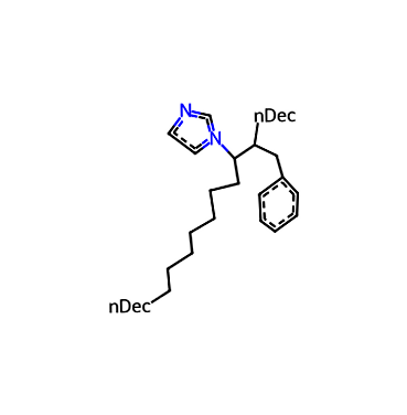 CCCCCCCCCCCCCCCCCC(C(CCCCCCCCCC)Cc1ccccc1)n1ccnc1